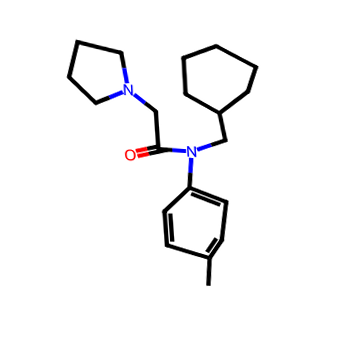 Cc1ccc(N(CC2CCCCC2)C(=O)CN2CCCC2)cc1